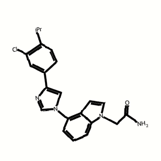 CC(C)c1ccc(-c2cn(-c3cccc4c3ccn4CC(N)=O)cn2)cc1Cl